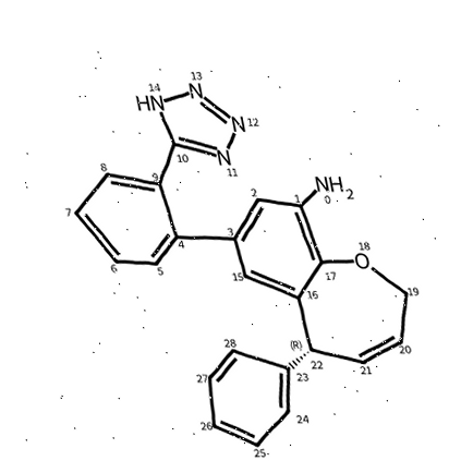 Nc1cc(-c2ccccc2-c2nnn[nH]2)cc2c1OCC=C[C@@H]2c1ccccc1